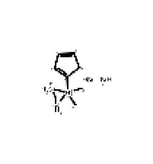 Br.Br.[CH3][Hf]1([CH3])([C]2=CC=CC2)[SiH2][SiH2]1